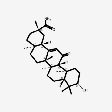 CC1(C)[C@@H](O)CC[C@]2(C)[C@H]3C(=O)C=C4[C@H]5C[C@@](C)(C(N)=O)CC[C@]5(C)CC[C@@]4(C)[C@]3(C)CC[C@@H]12